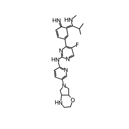 CN/C(=C1/C=C(c2nc(Nc3ccc(N4CC5NCCOC5C4)cn3)ncc2F)C=CC1=N)C(C)C